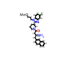 COCCCn1c([C@@H]2CCCN(C(=O)C[C@H](N)Cc3ccc4ccccc4c3)C2)nc2cc(F)ccc21